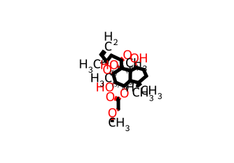 C=C[C@@]1(C)CC(=O)[C@]2(O)[C@@]3(C)[C@@H](O)CCC(C)(C)[C@@H]3[C@H](OC(=O)COC)[C@H](O)[C@@]2(C)O1